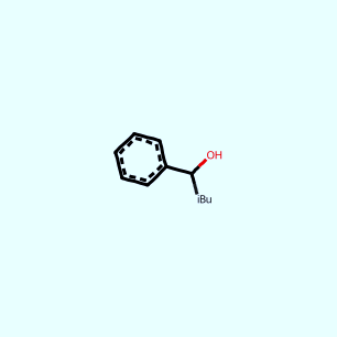 CCC(C)C(O)c1ccccc1